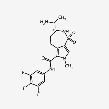 CC(N)[C@H]1CCc2c(cn(C)c2C(=O)Nc2cc(F)c(F)c(F)c2)S(=O)(=O)N1